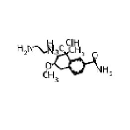 CO[C@@H]1Cc2ccc(C(N)=O)cc2C(C)(C)[C@H]1NCCN.Cl